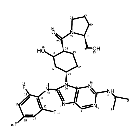 CC(C)Nc1ncc2nc(Nc3c(F)cc(F)cc3F)n([C@@H]3CC[C@H](C(=O)N4CCC[C@H]4CO)C(O)C3)c2n1